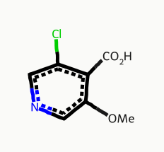 COc1cncc(Cl)c1C(=O)O